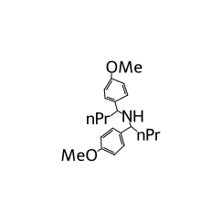 CCCC(NC(CCC)c1ccc(OC)cc1)c1ccc(OC)cc1